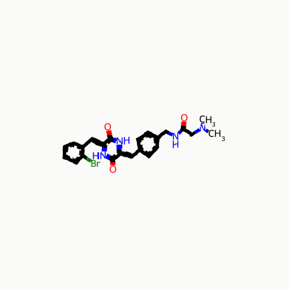 CN(C)CC(=O)NCc1ccc(C=c2[nH]c(=O)c(=Cc3ccccc3Br)[nH]c2=O)cc1